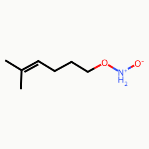 CC(C)=CCCCO[NH2+][O-]